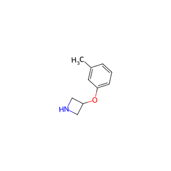 Cc1cccc(OC2CNC2)c1